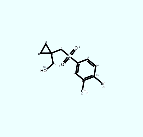 Cc1cc(S(=O)(=O)CC2(CO)CC2)ccc1Br